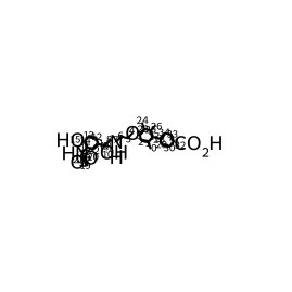 Cc1cc(OCCNC[C@H](O)c2ccc(O)c(NS(C)(=O)=O)c2)c(C)c(C)c1-c1ccc(C(=O)O)cc1